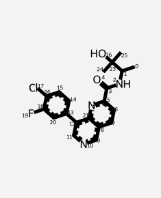 CC(NC(=O)c1ccc2cncc(-c3ccc(Cl)c(F)c3)c2n1)C(C)(C)O